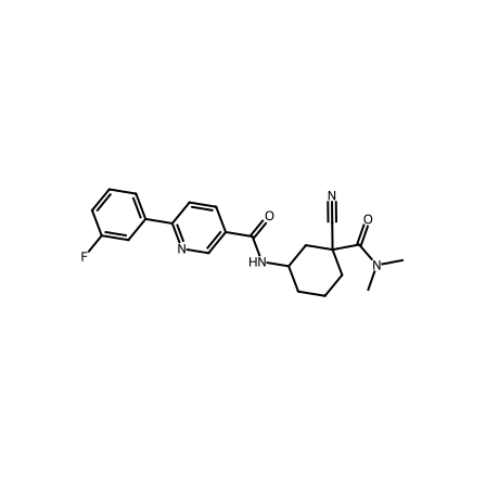 CN(C)C(=O)C1(C#N)CCCC(NC(=O)c2ccc(-c3cccc(F)c3)nc2)C1